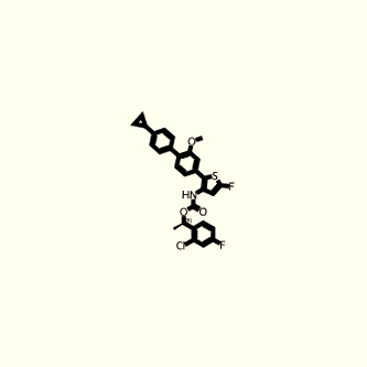 COc1cc(-c2sc(F)cc2NC(=O)O[C@H](C)c2ccc(F)cc2Cl)ccc1-c1ccc(C2CC2)cc1